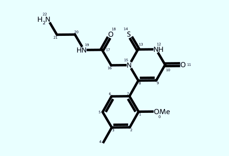 COc1cc(C)ccc1-c1cc(=O)[nH]c(=S)n1CC(=O)NCCN